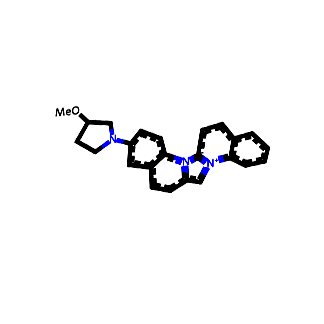 COC1CCN(c2ccc3c(ccc4c[n+]5c6ccccc6ccc5n43)c2)C1